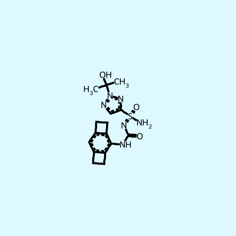 CC(C)(O)n1ncc(S(N)(=O)=NC(=O)Nc2c3c(cc4c2CC4)CC3)n1